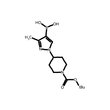 Cc1nn(C2CCN(C(=O)OC(C)(C)C)CC2)cc1B(O)O